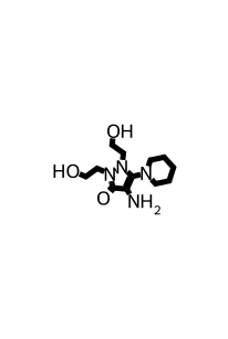 Nc1c(N2CCCCC2)n(CCO)n(CCO)c1=O